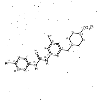 CCOC(=O)N1CCN(Cc2cc(F)cc(NC(=O)Nc3ccc(C(C)=O)nc3)c2)CC1